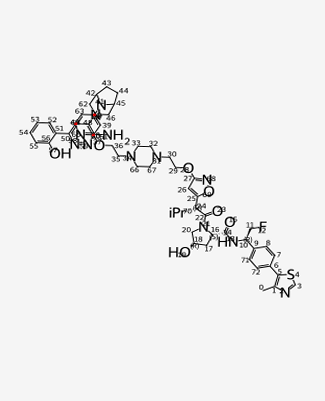 Cc1ncsc1-c1ccc([C@H](CF)NC(=O)[C@@H]2C[C@@H](O)CN2C(=O)[C@@H](c2cc(OCCN3CCN(CCOc4cc(N5C6CCC5CN(c5cc(-c7ccccc7O)nnc5N)C6)ccn4)CC3)no2)C(C)C)cc1